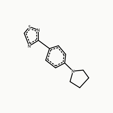 c1nc(-c2ccc(N3CCCC3)cc2)ns1